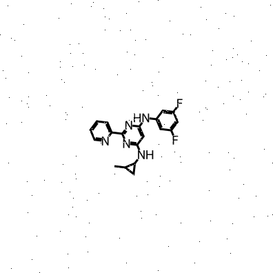 CC1CC1Nc1cc(Nc2cc(F)cc(F)c2)nc(-c2ccccn2)n1